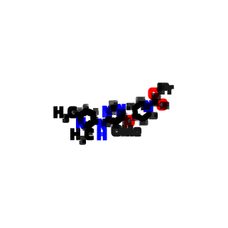 COc1c(Nc2ccc(C)nc2C)ncnc1OC1CCN(C(=O)OC(C)C)CC1